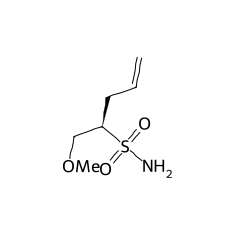 C=CC[C@H](COC)S(N)(=O)=O